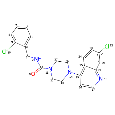 O=C(NCc1ccccc1Cl)N1CCN(c2ccnc3cc(Cl)ccc23)CC1